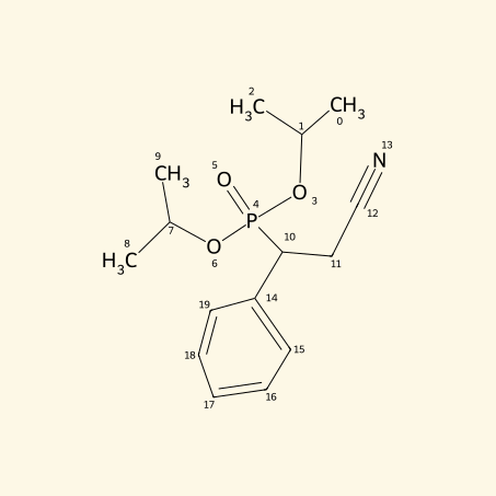 CC(C)OP(=O)(OC(C)C)C(CC#N)c1ccccc1